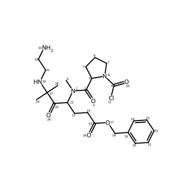 CN(C(=O)C1CCCN1C(=O)Cl)C(CCC(=O)OCc1ccccc1)C(=O)C(C)(C)NCCN